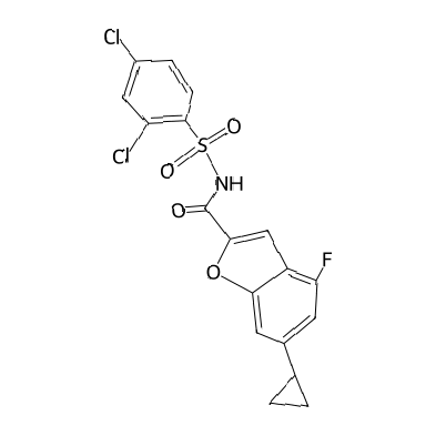 O=C(NS(=O)(=O)c1ccc(Cl)cc1Cl)c1cc2c(F)cc(C3CC3)cc2o1